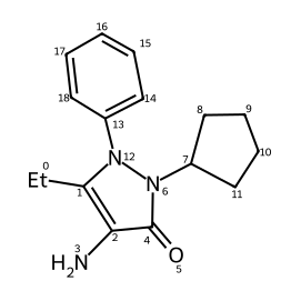 CCc1c(N)c(=O)n(C2CCCC2)n1-c1ccccc1